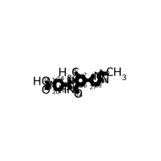 Cc1cn2cc(-c3cc(C)c4nc(C5CCN(C(=O)O)CC5)[nH]c(=O)c4c3)ccc2n1